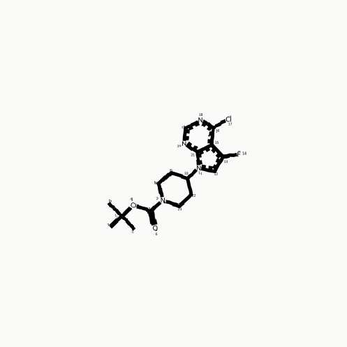 CC(C)(C)OC(=O)N1CCC(n2cc(F)c3c(Cl)ncnc32)CC1